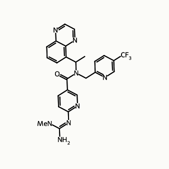 CN/C(N)=N\c1ccc(C(=O)N(Cc2ccc(C(F)(F)F)cn2)C(C)c2cccc3nccnc23)cn1